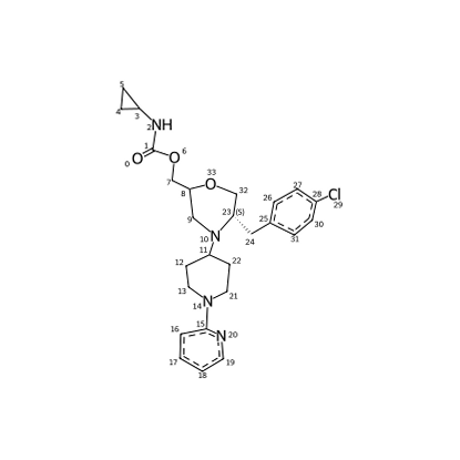 O=C(NC1CC1)OCC1CN(C2CCN(c3ccccn3)CC2)[C@@H](Cc2ccc(Cl)cc2)CO1